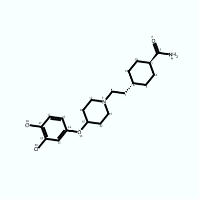 NC(=O)[C@H]1CC[C@H](CCN2CCC(Oc3ccc(Cl)c(Cl)c3)CC2)CC1